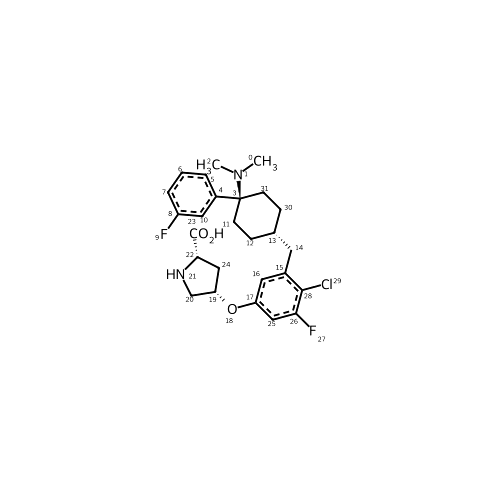 CN(C)[C@]1(c2cccc(F)c2)CC[C@@H](Cc2cc(O[C@@H]3CN[C@H](C(=O)O)C3)cc(F)c2Cl)CC1